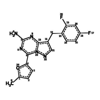 Cc1ccc(-c2nc(N)nc3c(Cc4ccc(F)cc4F)cnn23)o1